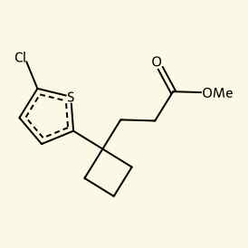 COC(=O)CCC1(c2ccc(Cl)s2)CCC1